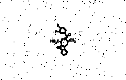 CC1Cc2c([nH]c3ccccc23)C(C(=O)O)=CN1C(=O)c1ccc(F)c(F)c1